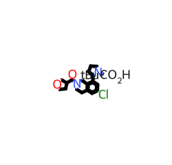 CC(C)(C)C1c2c(cc(Cl)cc2C2CCCN2C(=O)O)CCN1C(=O)C1CCOC1